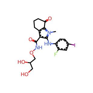 Cn1c(Nc2ccc(I)cc2F)c(C(=O)NOCC(O)CO)c2c1C(=O)CCC2